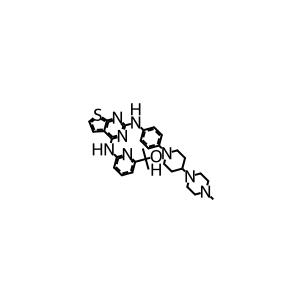 CN1CCN(C2CCN(c3ccc(Nc4nc(Nc5cccc(C(C)(C)O)n5)c5ccsc5n4)cc3)CC2)CC1